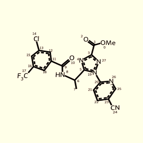 COC(=O)c1nc(C(C)NC(=O)c2cc(Cl)cc(C(F)(F)F)c2)n(-c2ccc(C#N)cn2)n1